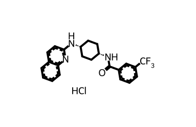 Cl.O=C(N[C@H]1CC[C@@H](Nc2ccc3ccccc3n2)CC1)c1cccc(C(F)(F)F)c1